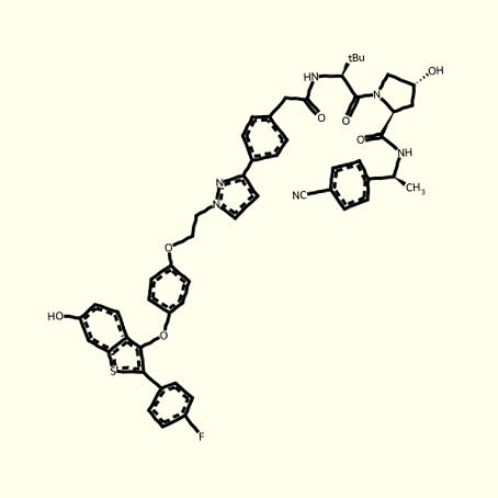 C[C@H](NC(=O)[C@@H]1C[C@@H](O)CN1C(=O)[C@@H](NC(=O)Cc1ccc(-c2ccn(CCOc3ccc(Oc4c(-c5ccc(F)cc5)sc5cc(O)ccc45)cc3)n2)cc1)C(C)(C)C)c1ccc(C#N)cc1